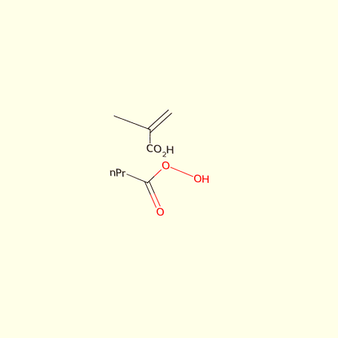 C=C(C)C(=O)O.CCCC(=O)OO